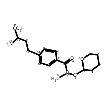 CN(OC1CCCCO1)C(=O)c1ccc(CCC(N)C(=O)O)cc1